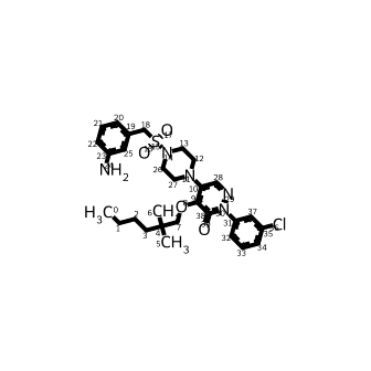 CCCCC(C)(C)COc1c(N2CCN(S(=O)(=O)Cc3cccc(N)c3)CC2)cnn(-c2cccc(Cl)c2)c1=O